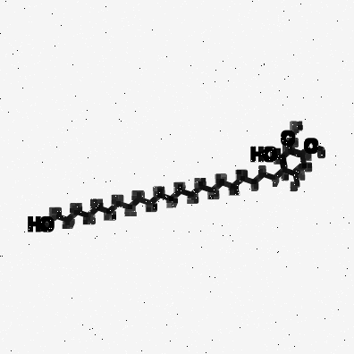 COc1cc(C)c(CCCCCCCCCCCCCCCCCCCCCCO)c(O)c1OC